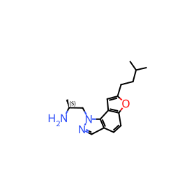 CC(C)CCc1cc2c(ccc3cnn(C[C@H](C)N)c32)o1